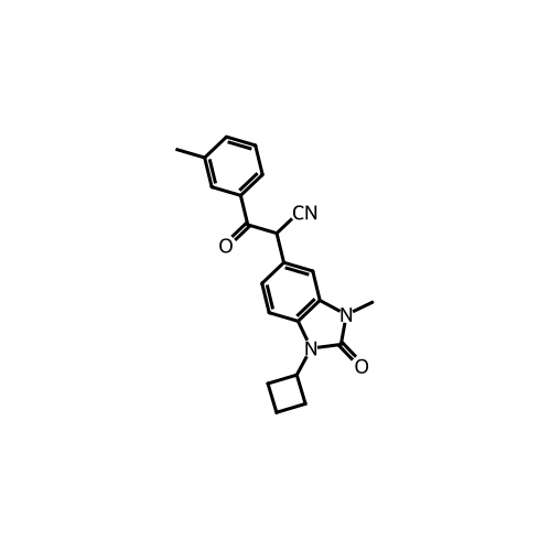 Cc1cccc(C(=O)C(C#N)c2ccc3c(c2)n(C)c(=O)n3C2CCC2)c1